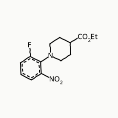 CCOC(=O)C1CCN(c2c(F)cccc2[N+](=O)[O-])CC1